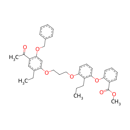 CCCc1c(OCCCOc2cc(OCc3ccccc3)c(C(C)=O)cc2CC)cccc1Oc1ccccc1C(=O)OC